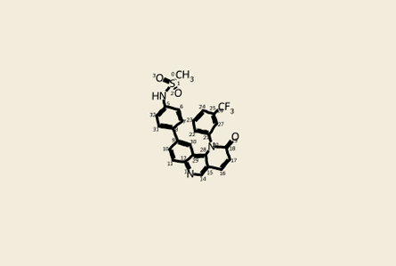 CS(=O)(=O)Nc1ccc(-c2ccc3ncc4ccc(=O)n(-c5cccc(C(F)(F)F)c5)c4c3c2)cc1